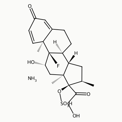 C[C@@H]1C[C@H]2[C@@H]3CCC4=CC(=O)C=C[C@]4(C)[C@@]3(F)[C@@H](O)C[C@]2(C)[C@@]1(OS(=O)(=O)O)C(=O)CO.N